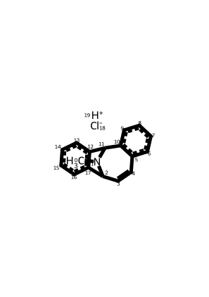 CN1C2C=Cc3ccccc3C1c1ccccc12.[Cl-].[H+]